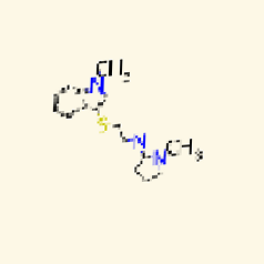 CN1CCC/C1=N\CCSc1cn(C)c2ccccc12